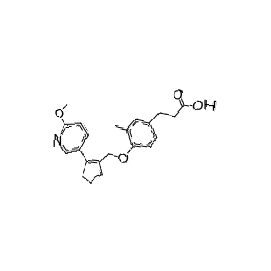 COc1ccc(C2=C(COc3ccc(CCC(=O)O)cc3C)CCC2)cn1